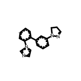 [c]1ccc(-c2cccc(N3CCC=N3)c2)c(-n2ccnc2)c1